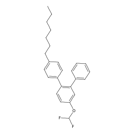 CCCCCCCc1ccc(-c2ccc(OC(F)F)cc2-c2ccccc2)cc1